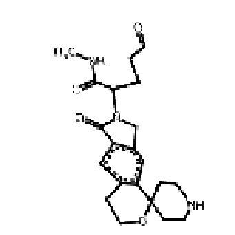 CNC(=O)C(CCC=O)N1Cc2cc3c(cc2C1=O)CCOC31CCNCC1